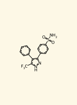 NS(=O)(=O)c1ccc(-c2n[nH]c(C(F)(F)F)c2-c2ccccc2)cc1